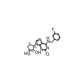 O[C@@H]1[C@H](n2cnc3c(NCc4cccc(F)c4)nc(Cl)nc32)SC[C@@H]1O